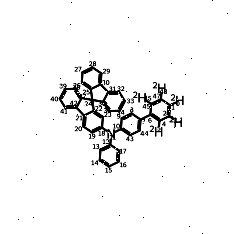 [2H]c1c([2H])c([2H])c(-c2ccc(N(c3ccccc3)c3ccc4c(c3)C3(c5ccccc5-c5ccccc53)c3ccccc3-4)cc2)c([2H])c1[2H]